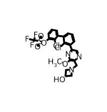 COc1nc(-c2cccc(-c3cccc(OS(=O)(=O)C(F)(F)F)c3Cl)c2Cl)cnc1CN1CC(O)C1